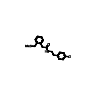 CSCc1ccccc1CC(=O)NCCc1ccc(Cl)cc1